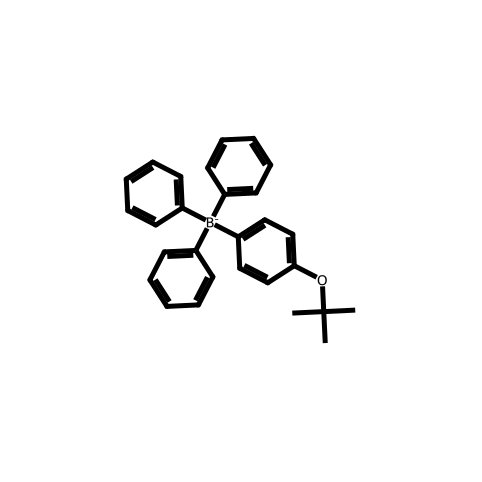 CC(C)(C)Oc1ccc([B-](c2ccccc2)(c2ccccc2)c2ccccc2)cc1